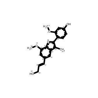 COc1cc(O)ccc1-c1oc2c(OC)cc(C=CCO)cc2c1C